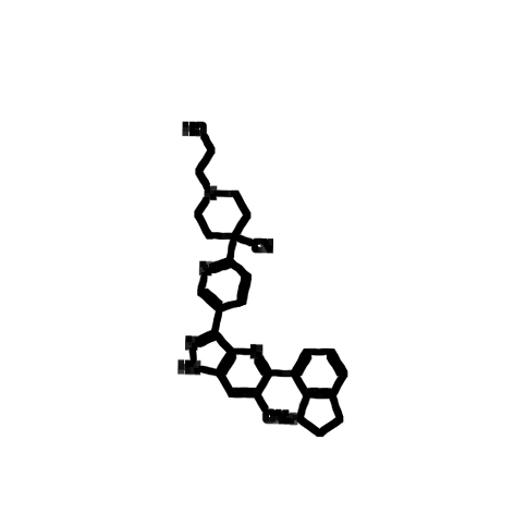 COc1cc2[nH]nc(-c3ccc(C4(C#N)CCN(CCO)CC4)nc3)c2nc1-c1cccc2c1CCC2